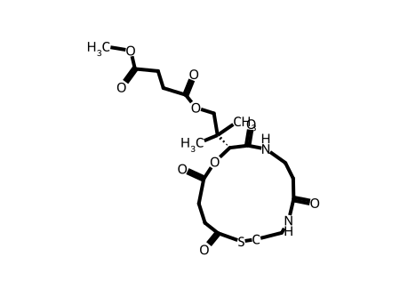 COC(=O)CCC(=O)OCC(C)(C)[C@H]1OC(=O)CCC(=O)SCCNC(=O)CCNC1=O